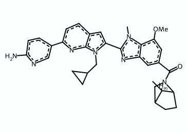 COc1cc(C(=O)N2CC3CCC2[C@@H]3C)cc2nc(-c3cc4ccc(-c5ccc(N)nc5)nc4n3CC3CC3)n(C)c12